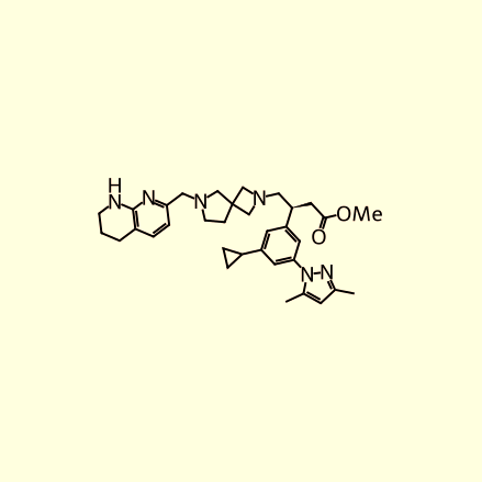 COC(=O)C[C@H](CN1CC2(CCN(Cc3ccc4c(n3)NCCC4)C2)C1)c1cc(C2CC2)cc(-n2nc(C)cc2C)c1